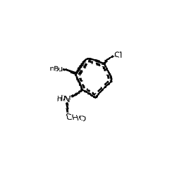 CCCCc1cc(Cl)ccc1NC=O